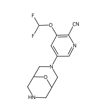 N#Cc1ncc(N2CC3CNCC(C2)O3)cc1OC(F)F